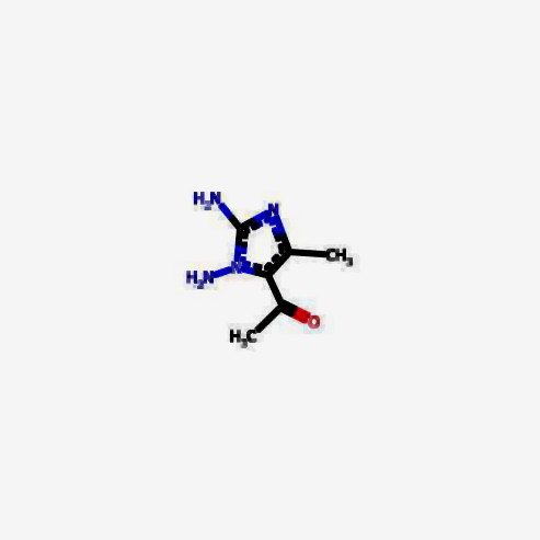 CC(=O)c1c(C)nc(N)n1N